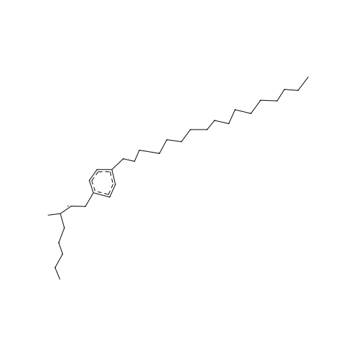 CCCCCCCCCCCCCCCCCc1ccc(C[CH]C(C)CCCCC)cc1